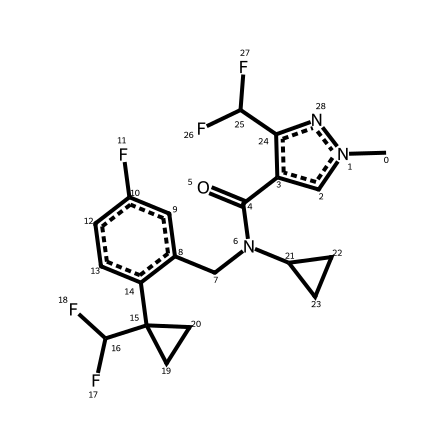 Cn1cc(C(=O)N(Cc2cc(F)ccc2C2(C(F)F)CC2)C2CC2)c(C(F)F)n1